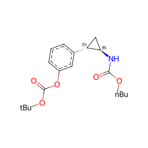 CCCCOC(=O)N[C@@H]1C[C@H]1c1cccc(OC(=O)OC(C)(C)C)c1